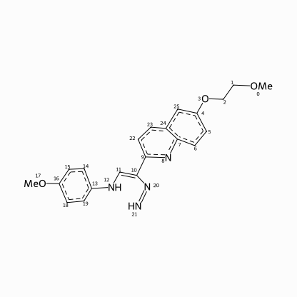 COCCOc1ccc2nc(/C(=C/Nc3ccc(OC)cc3)N=N)ccc2c1